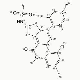 COC(=O)C1=C2C[C@H](NS(C)(=O)=O)CN2C(c2ncc(F)cc2F)=NC1c1ccc(F)cc1Cl